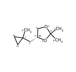 CC1(C[C@@H]2COC(C)(C)O2)CC1